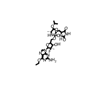 CCOc1nc(N)nc2c1ncn2C1OC(CO[P@](=O)(N[C@H](C)C(=O)OC(C)C)SCC2NC(=O)NC2=O)[C@@H](O)[C@@]1(C)F